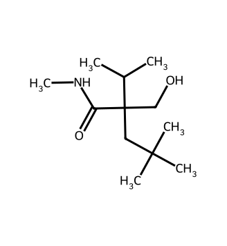 CNC(=O)C(CO)(CC(C)(C)C)C(C)C